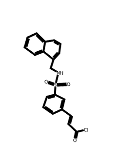 O=C(Cl)/C=C/c1cccc(S(=O)(=O)NCc2cccc3ccccc23)c1